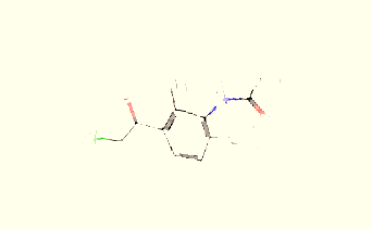 CC(=O)Nc1c(C)ccc(C(=O)CCl)c1C